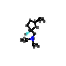 C[C@@H]1CCC(F)(CN(C)C)C1